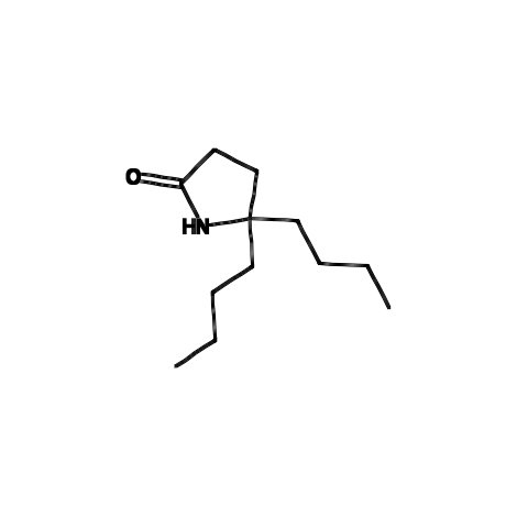 CCCCC1(CCCC)CCC(=O)N1